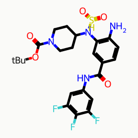 CC(C)(C)OC(=O)N1CCC(N(c2cc(C(=O)Nc3cc(F)c(F)c(F)c3)ccc2N)[SH](=O)=O)CC1